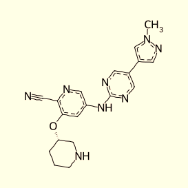 Cn1cc(-c2cnc(Nc3cnc(C#N)c(O[C@H]4CCCNC4)c3)nc2)cn1